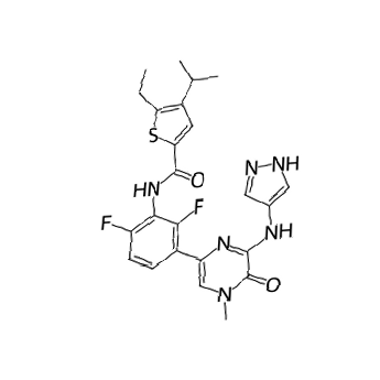 CCc1sc(C(=O)Nc2c(F)ccc(-c3cn(C)c(=O)c(Nc4cn[nH]c4)n3)c2F)cc1C(C)C